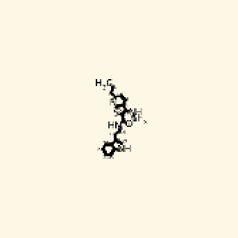 CCCc1ccc2c(NC)c(C(=O)NCCc3c[nH]c4ccccc34)sc2n1